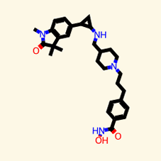 CN1C(=O)C(C)(C)c2cc(C3CC3NCC3CCN(CCCc4ccc(C(=O)NO)cc4)CC3)ccc21